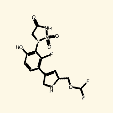 O=C1CN(c2c(O)ccc(C3=CC(COC(F)F)NC3)c2F)S(=O)(=O)N1